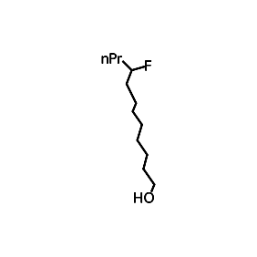 CCCC(F)CCCCCCCCO